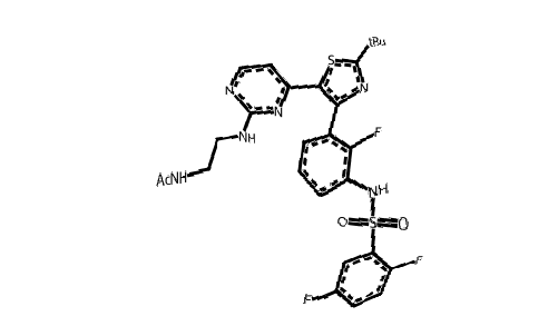 CC(=O)NCCNc1nccc(-c2sc(C(C)(C)C)nc2-c2cccc(NS(=O)(=O)c3cc(F)ccc3F)c2F)n1